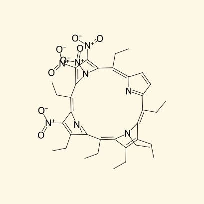 CCC1=C([N+](=O)[O-])c2nc1c(CC)c1c(CC)c(CC)c(c(CC)c3nc(c(CC)c4c([N+](=O)[O-])c([N+](=O)[O-])c(c2CC)n4[N+](=O)[O-])C=C3)n1CC